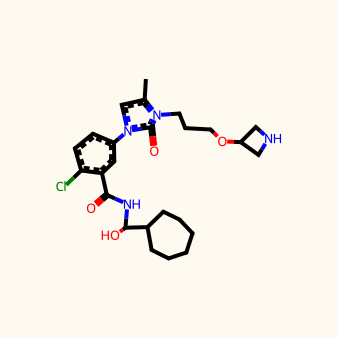 Cc1cn(-c2ccc(Cl)c(C(=O)NC(O)C3CCCCCC3)c2)c(=O)n1CCCOC1CNC1